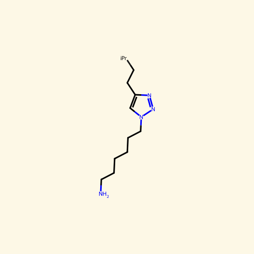 CC(C)CCc1cn(CCCCCCN)nn1